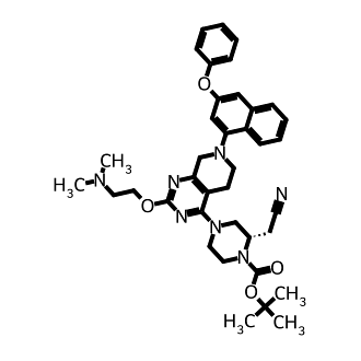 CN(C)CCOc1nc2c(c(N3CCN(C(=O)OC(C)(C)C)[C@@H](CC#N)C3)n1)CCN(c1cc(Oc3ccccc3)cc3ccccc13)C2